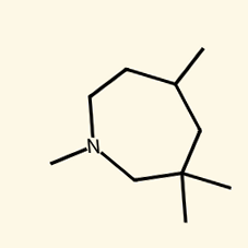 CC1CCN(C)CC(C)(C)C1